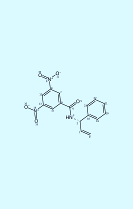 C=C[C@H](NC(=O)c1cc([N+](=O)[O-])cc([N+](=O)[O-])c1)c1ccccc1